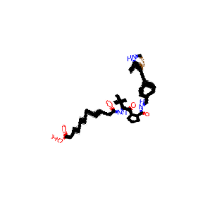 CC1=C(c2ccc(CNC(=O)C3CCCC3C(=O)C(NC(=O)CCCCCCCCCC(=O)O)C(C)(C)C)cc2)SCN1